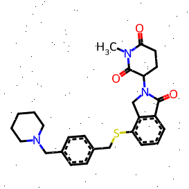 CN1C(=O)CCC(N2Cc3c(SCc4ccc(CN5CCCCC5)cc4)cccc3C2=O)C1=O